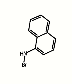 BrNc1cccc2ccccc12